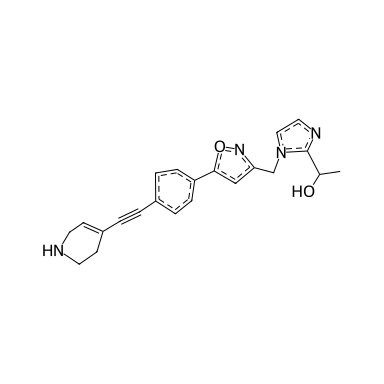 CC(O)c1nccn1Cc1cc(-c2ccc(C#CC3=CCNCC3)cc2)on1